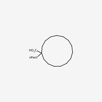 CCCCCC1(C(=O)O)CCCCCCCCCCCCCC1